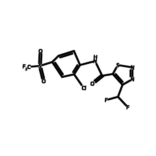 O=C(Nc1ccc(S(=O)(=O)C(F)(F)F)cc1Cl)c1snnc1C(F)F